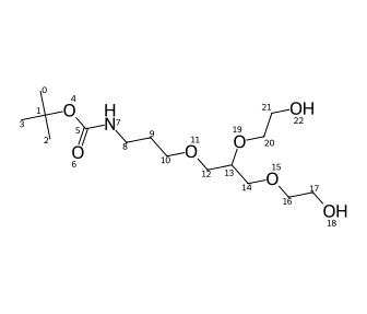 CC(C)(C)OC(=O)NCCCOCC(COCCO)OCCO